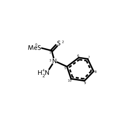 CSC(=S)N(N)c1ccccc1